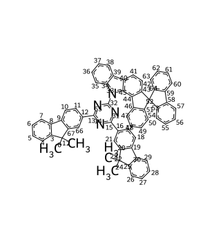 CC1(C)c2ccccc2-c2ccc(-c3nc(-c4ccc5c(c4)C(C)(C)c4ccccc4-5)nc(-n4c5ccccc5c5ccc6c(c54)-c4ccccc4C64c5ccccc5-c5ccccc54)n3)cc21